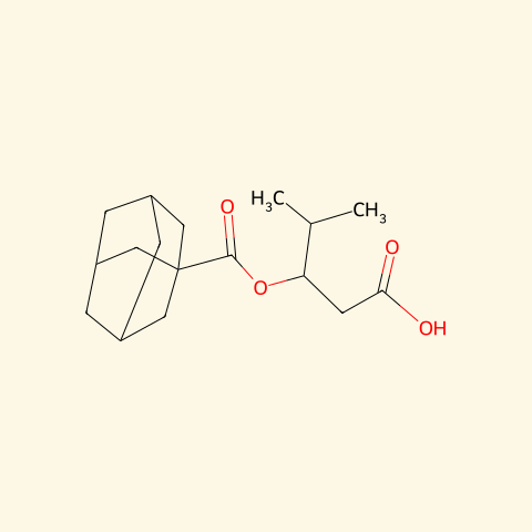 CC(C)C(CC(=O)O)OC(=O)C12CC3CC(CC(C3)C1)C2